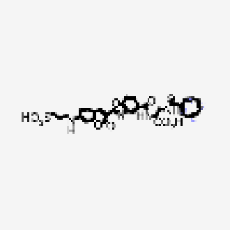 O=C(NCC(NC(=O)c1ccc2oc(-c3cc4ccc(NCCCS(=O)(=O)O)cc4oc3=O)nc2c1)C(=O)O)C1=C/C=C\C=C/C=C\1